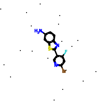 Nc1ccc2nc(-c3cnc(Br)cc3F)sc2c1